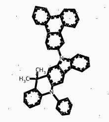 CC1(C)c2ccccc2N(c2ccccc2)c2cc3c4ccccc4n(-c4ccc5c6ccccc6c6ccccc6c5c4)c3cc21